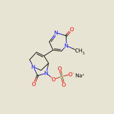 Cn1cc(C2=CCN3CC2N(OS(=O)(=O)[O-])C3=O)cnc1=O.[Na+]